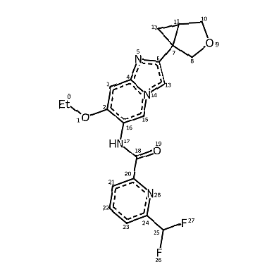 CCOc1cc2nc(C34COCC3C4)cn2cc1NC(=O)c1cccc(C(F)F)n1